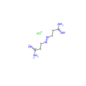 Cl.N=C(N)CCN=NCCC(=N)N